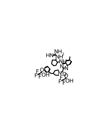 Cc1ccc2nc(C(=O)N3CCC(Cc4ccccc4)CC3)nc(NC3CCCCC3NC(=N)N)c2c1.O=C(O)C(F)(F)F.O=C(O)C(F)(F)F